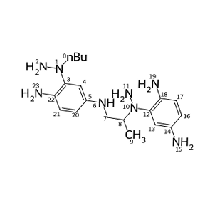 CCCCN(N)c1cc(NCC(C)N(N)c2cc(N)ccc2N)ccc1N